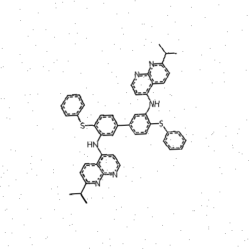 CC(C)c1ccc2c(Nc3cc(-c4ccc(Sc5ccccc5)c(Nc5ccnc6nc(C(C)C)ccc56)c4)ccc3Sc3ccccc3)ccnc2n1